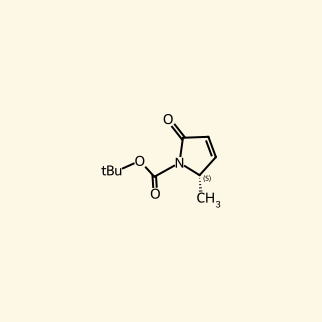 C[C@H]1C=CC(=O)N1C(=O)OC(C)(C)C